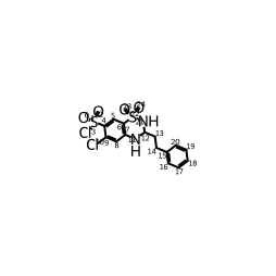 O=S(=O)(Cl)c1cc2c(cc1Cl)NC(CCc1ccccc1)NS2(=O)=O